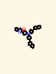 c1ccc2cc(-c3ccc(N(c4ccc(-c5ccc6ccccc6c5)cc4)c4ccc5c(c4)oc4cc6ccccc6nc45)cc3)ccc2c1